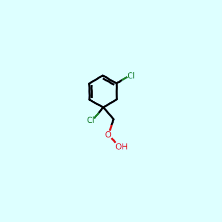 OOCC1(Cl)C=CC=C(Cl)C1